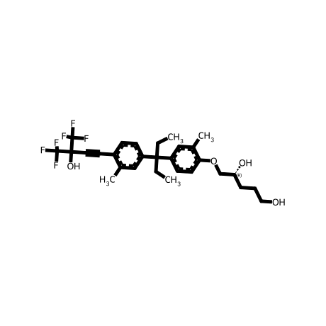 CCC(CC)(c1ccc(C#CC(O)(C(F)(F)F)C(F)(F)F)c(C)c1)c1ccc(OC[C@H](O)CCCO)c(C)c1